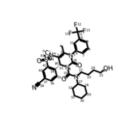 [C-]#[N+]C1=C(C)N(c2cccc(C(F)(F)F)c2)C(=O)N(C(=O)N(CCCCO)C2CCCCC2)[C@@H]1c1ccc(C#N)cc1S(C)(=O)=O